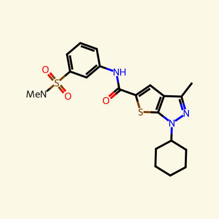 CNS(=O)(=O)c1cccc(NC(=O)c2cc3c(C)nn(C4CCCCC4)c3s2)c1